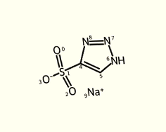 O=S(=O)([O-])c1c[nH]nn1.[Na+]